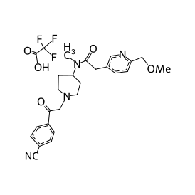 COCc1ccc(CC(=O)N(C)C2CCN(CC(=O)c3ccc(C#N)cc3)CC2)cn1.O=C(O)C(F)(F)F